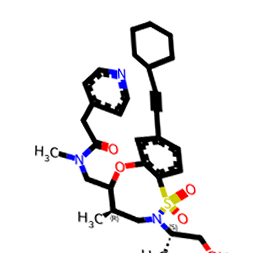 C[C@@H]1CN([C@@H](C)CO)S(=O)(=O)c2ccc(C#CC3CCCCC3)cc2OC1CN(C)C(=O)Cc1ccncc1